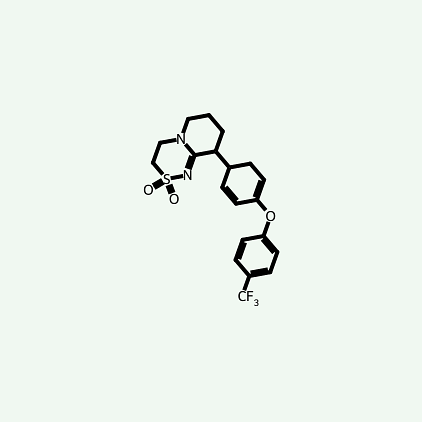 O=S1(=O)CCN2CCCC(C3C=CC(Oc4ccc(C(F)(F)F)cc4)=CC3)C2=N1